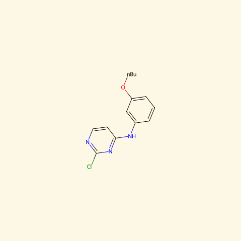 [CH2]CCCOc1cccc(Nc2ccnc(Cl)n2)c1